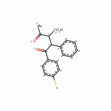 CCC(C)C(=O)C(C(=O)O)C(C(=O)c1ccc(F)cc1)c1ccccc1